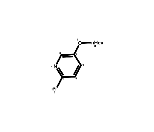 CCCCCCOc1ccc(C(C)C)nc1